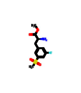 COC(=O)[C@@H](N)Cc1cc(F)cc(S(C)(=O)=O)c1